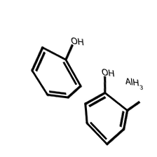 Cc1ccccc1O.Oc1ccccc1.[AlH3]